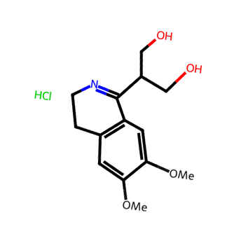 COc1cc2c(cc1OC)C(C(CO)CO)=NCC2.Cl